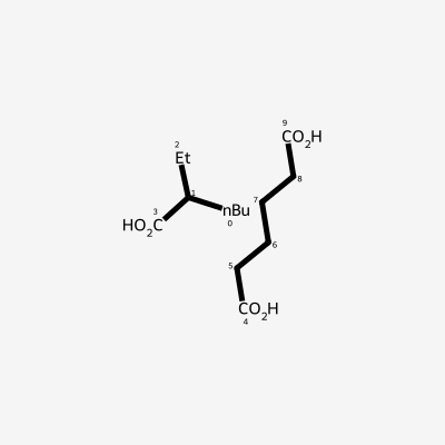 CCCCC(CC)C(=O)O.O=C(O)CCCCC(=O)O